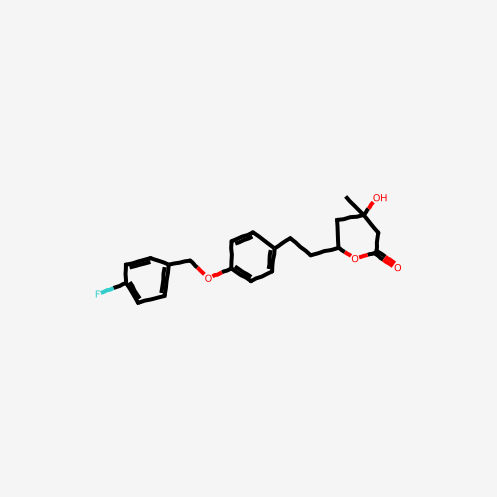 CC1(O)CC(=O)OC(CCc2ccc(OCc3ccc(F)cc3)cc2)C1